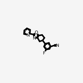 N#Cc1cc(F)cc(C2CCc3oc(-c4ccccn4)nc3C2)c1